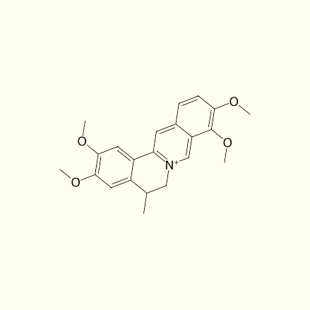 COc1cc2c(cc1OC)C(C)C[n+]1cc3c(OC)c(OC)ccc3cc1-2